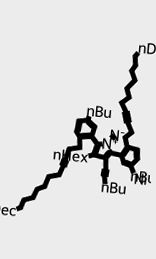 CCCCC#CC1=C(c2cc(CCCC)ccc2CCC#CCCCCCCCCCCCCCCCCC)[N+](=[N-])C(c2cc(CCCC)ccc2CCC#CCCCCCCCCCCCCCCCCC)=C1CCCCCC.[Ni]